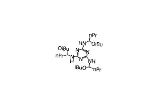 CCCC(Nc1nc(NC(CCC)OCC(C)C)nc(NC(CCC)OCC(C)C)n1)OCC(C)C